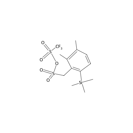 Cc1ccc([Si](C)(C)C)c(CS(=O)(=O)OS(=O)(=O)C(F)(F)F)c1C